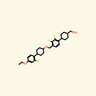 CCOc1ccc(C2CCC(OCc3ccc(C4CCC(CO)CC4)c(F)c3F)CC2)c(F)c1